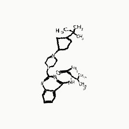 CC(C)[C@H](Nc1nc(CN2CCN(C3CCC(C(C)(C)C)CC3)CC2)nc2ccccc12)C(N)=O